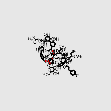 CN[C@H](CC(C)C)C(=O)N[C@H]1C(=O)N[C@@H](CC(N)=O)C(=O)N[C@H]2C(=O)N[C@H]3C(=O)N[C@H](C(=O)N[C@@H](NOCC(N)=O)c4cc(O)cc(O)c4-c4cc3ccc4O)[C@H](O)c3ccc(c(Cl)c3)Oc3cc2cc(c3O[C@@H]2O[C@H](CO)[C@@H](O)[C@H](O)[C@H]2O[C@H]2C[C@](C)(NCCn3ccc(NC(=O)/C=C/c4ccc(Cl)cc4)nc3=O)[C@H](O)[C@H](C)O2)Oc2ccc(cc2Cl)[C@H]1O